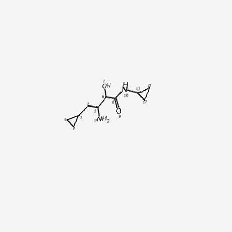 NC(CC1CC1)C(O)C(=O)NC1CC1